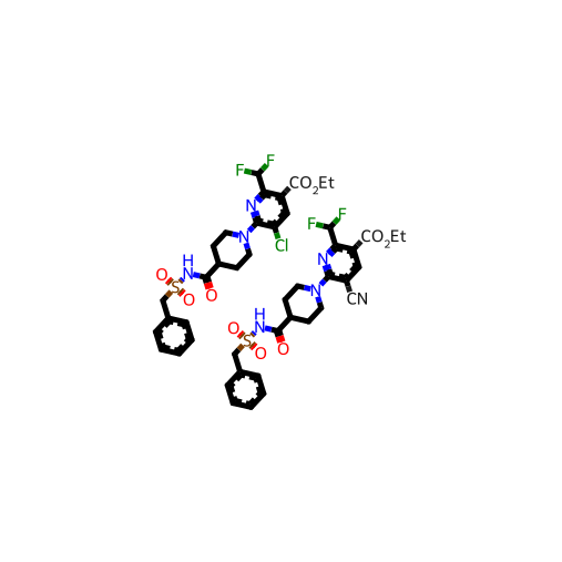 CCOC(=O)c1cc(C#N)c(N2CCC(C(=O)NS(=O)(=O)Cc3ccccc3)CC2)nc1C(F)F.CCOC(=O)c1cc(Cl)c(N2CCC(C(=O)NS(=O)(=O)Cc3ccccc3)CC2)nc1C(F)F